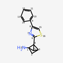 NC12CC(C1)C2c1nc(-c2ccccc2)cs1